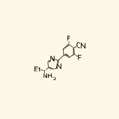 CCC(N)c1cnc(-c2cc(F)c(C#N)c(F)c2)nc1